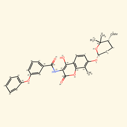 CO[C@@H]1CC[C@H](Oc2ccc3c(O)c(NC(=O)c4cccc(Oc5ccccc5)c4)c(=O)oc3c2C)OC1(C)C